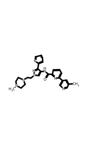 Cc1cncc(-c2cccc(C(=O)Nc3cn(CCN4CCN(C)CC4)nc3-c3ccccn3)n2)c1